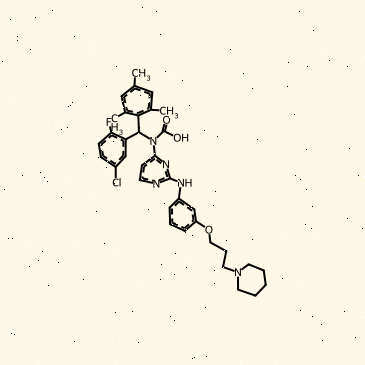 Cc1cc(C)c(C(c2cc(Cl)ccc2F)N(C(=O)O)c2ccnc(Nc3cccc(OCCCN4CCCCC4)c3)n2)c(C)c1